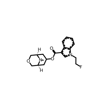 CN1[C@@H]2COC[C@H]1CC(OC(=O)c1cn(CCF)c3ccccc13)C2